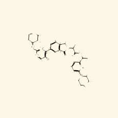 CC(NC(=O)C(C)N1Cc2ccc(-c3nc(NC4CCOCC4)ncc3Cl)cc2C1=O)c1cccc(N2CCOCC2)n1